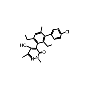 CCc1cc(C)c(-c2ccc(Cl)cc2)c(CC)c1-c1c(O)c(C)nn(C)c1=O